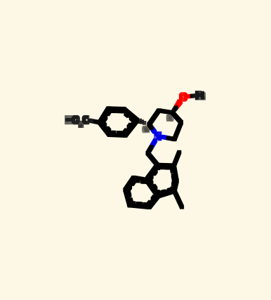 CCO[C@H]1CCN(Cc2c(C)cc(C)c3ccccc23)[C@H](c2ccc(C(=O)O)cc2)C1